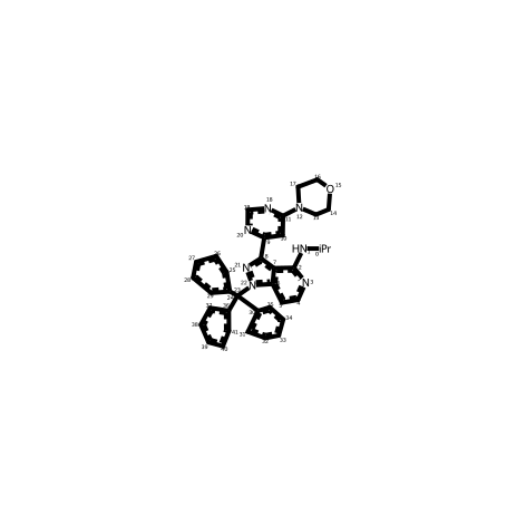 CC(C)Nc1nccc2c1c(-c1cc(N3CCOCC3)ncn1)nn2C(c1ccccc1)(c1ccccc1)c1ccccc1